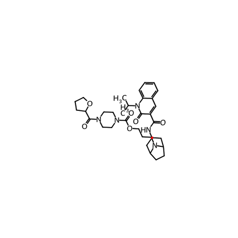 CC(C)n1c(=O)c(C(=O)NC2CC3CCC(C2)N3CCCOC(=O)N2CCN(C(=O)C3CCCO3)CC2)cc2ccccc21